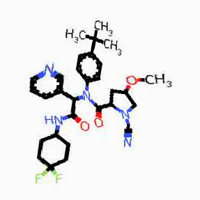 COC1CC(C(=O)N(c2ccc(C(C)(C)C)cc2)C(C(=O)NC2CCC(F)(F)CC2)c2cccnc2)N(C#N)C1